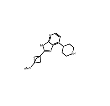 COC12CC(c3nc4c(C5CCNCC5)ccnc4[nH]3)(C1)C2